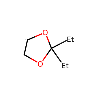 CCC1(CC)O[CH]CO1